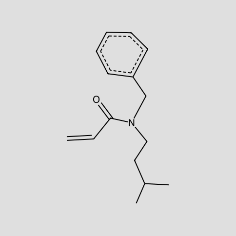 C=CC(=O)N(CCC(C)C)Cc1ccccc1